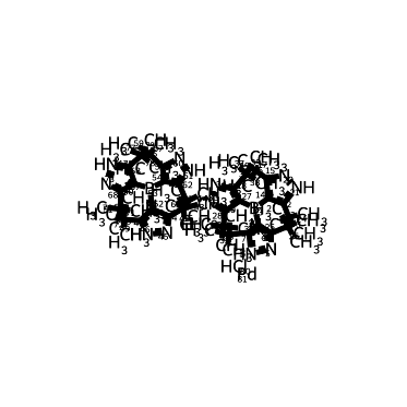 CC(C)(C)c1n[nH]c(C(C)(C)C)c1B(c1c(C(C)(C)C)n[nH]c1C(C)(C)C)c1c(C(C)(C)C)n[nH]c1C(C)(C)C.CC(C)(C)c1n[nH]c(C(C)(C)C)c1B(c1c(C(C)(C)C)n[nH]c1C(C)(C)C)c1c(C(C)(C)C)n[nH]c1C(C)(C)C.Cl.[Pd]